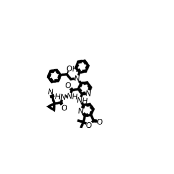 CC1(C)OC(=O)c2ccc(Nc3nccc(N(C[C@H](O)c4ccccc4)c4ccccc4)c3C(=O)NNC(=O)C3(C#N)CC3)nc21